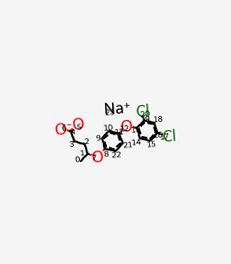 CC(CCC(=O)[O-])Oc1ccc(Oc2ccc(Cl)cc2Cl)cc1.[Na+]